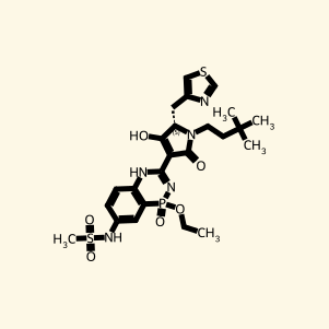 CCOP1(=O)N=C(C2=C(O)[C@H](Cc3cscn3)N(CCC(C)(C)C)C2=O)Nc2ccc(NS(C)(=O)=O)cc21